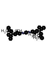 CC1(C)c2ccccc2-c2ccc(N(c3ccc4c(c3)C(C)(C)c3cc(/C=C/c5ccc(/C=C/c6ccc7c(c6)C(C)(C)c6cc(N(c8ccc9c(c8)C(C)(C)c8ccccc8-9)c8cc9ccccc9c9ccccc89)ccc6-7)cc5)ccc3-4)c3cc4ccccc4c4ccccc34)cc21